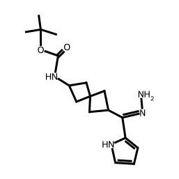 CC(C)(C)OC(=O)NC1CC2(C1)CC(/C(=N\N)c1ccc[nH]1)C2